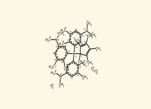 CC1=C(C)C(C)([Si](c2cc(N(C)C)cc(C)c2C)(c2cc(N(C)C)cc(C)c2C)c2cc(N(C)C)cc(C)c2C)[C]([Ti+3])=C1C.[Cl-].[Cl-].[Cl-]